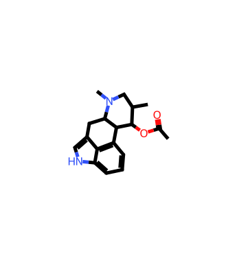 CC(=O)OC1C(C)CN(C)C2Cc3c[nH]c4cccc(c34)C12